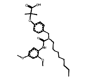 CCCCCCCCN(Cc1ccc(OC(C)(C)C(=O)O)cc1)C(=O)Nc1ccc(OC)cc1OC